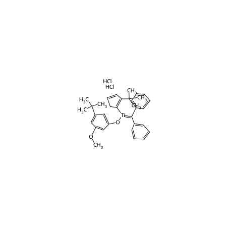 COc1cc([O][Ti]([C]2=C(C(C)(C)C)C=CC2)=[C](c2ccccc2)c2ccccc2)cc(C(C)(C)C)c1.Cl.Cl